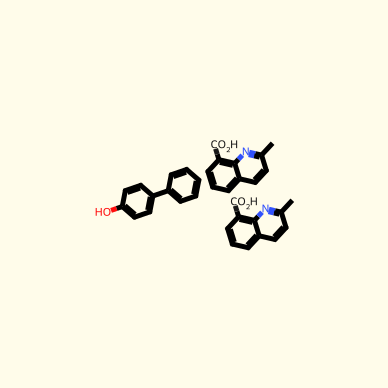 Cc1ccc2cccc(C(=O)O)c2n1.Cc1ccc2cccc(C(=O)O)c2n1.Oc1ccc(-c2ccccc2)cc1